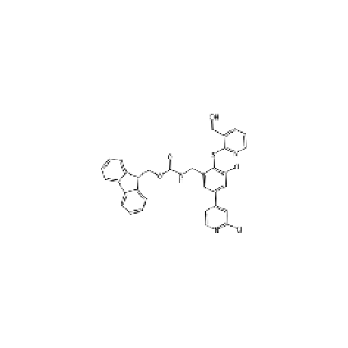 O=C(NCc1cc(-c2ccnc(Cl)c2)cc(Cl)c1Sc1ncccc1CO)OCC1c2ccccc2-c2ccccc21